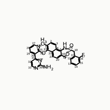 Cc1ccc2c(NS(=O)(=O)Cc3ccccc3F)c(F)ccc2c1Oc1ncccc1-c1ccnc(N)n1